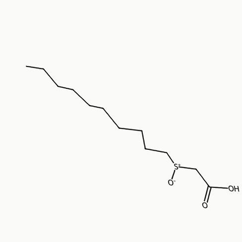 CCCCCCCCCC[S+]([O-])CC(=O)O